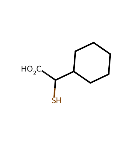 O=C(O)C(S)C1CCCCC1